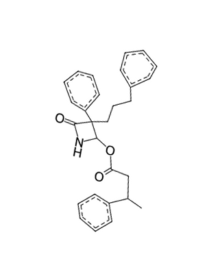 CC(CC(=O)OC1NC(=O)C1(CCCc1ccccc1)c1ccccc1)c1ccccc1